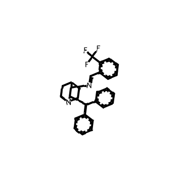 FC(F)(F)c1ccccc1C=NC1C2CCN(CC2)C1C(c1ccccc1)c1ccccc1